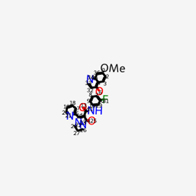 COc1ccc2c(Oc3ccc(NC(=O)c4c(-c5ccccn5)n5n(c4=O)CCC5)cc3F)ccnc2c1